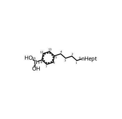 CCCCCCCCCCCc1ccc(B(O)O)cc1